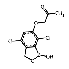 CC(=O)COc1cc(Cl)c2c(c1Cl)B(O)OC2